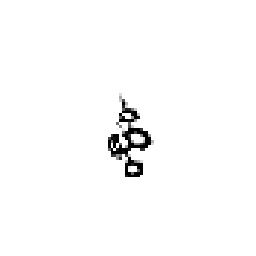 N#Cc1cccc(COC2C3CCN(CC3)C2C(c2ccccc2)c2ccccc2)c1